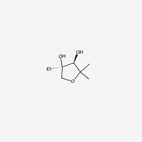 CC[C@@]1(O)COC(C)(C)[C@@H]1O